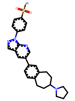 CC(C)S(=O)(=O)c1ccc(-n2ncc3cc(-c4ccc5c(c4)CCC(N4CCCC4)CC5)cnc32)cc1